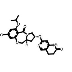 CC(C)Oc1cc(Cl)cc2c1C(=O)N1C[C@@H](Oc3cc4c(cn3)CCC(=O)N4)C[C@@H]1CO2